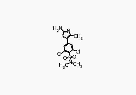 Cc1nc(N)sc1-c1cc(Cl)c(S(=O)(=O)N(C)C)c(Cl)c1